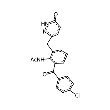 CC(=O)Nc1c(Cc2ccc(=O)[nH]n2)cccc1C(=O)c1ccc(Cl)cc1